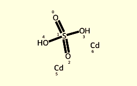 O=S(=O)(O)O.[Cd].[Cd]